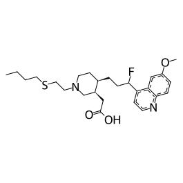 CCCCSCCN1CC[C@@H](CCC(F)c2ccnc3ccc(OC)cc23)[C@@H](CC(=O)O)C1